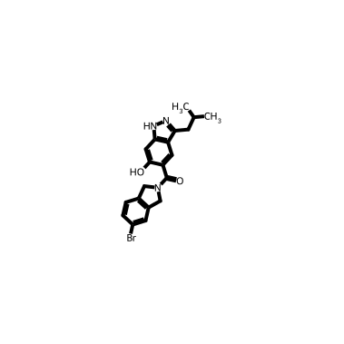 CC(C)Cc1n[nH]c2cc(O)c(C(=O)N3Cc4ccc(Br)cc4C3)cc12